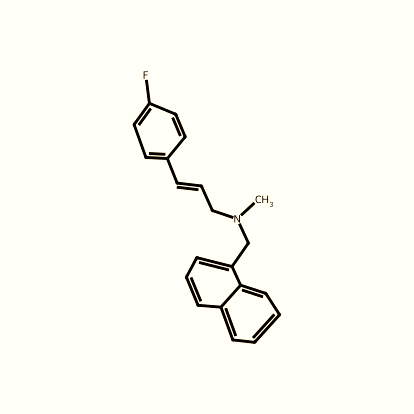 CN(C/C=C/c1ccc(F)cc1)Cc1cccc2ccccc12